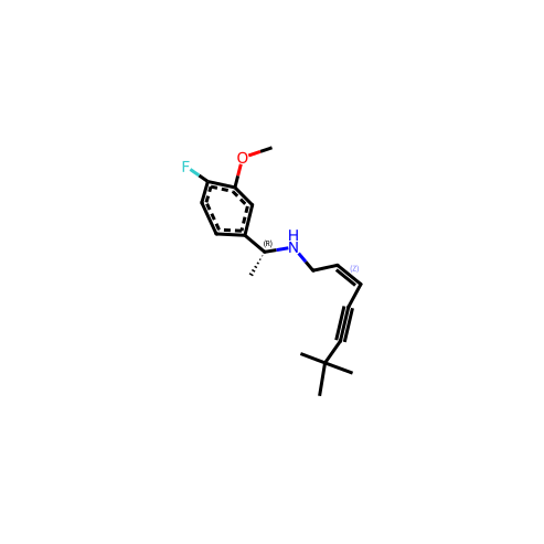 COc1cc([C@@H](C)NC/C=C\C#CC(C)(C)C)ccc1F